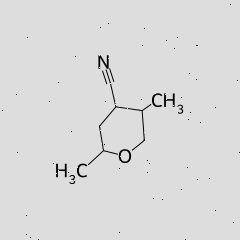 CC1CC(C#N)C(C)CO1